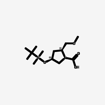 COC[C@@H]1C[C@H](O[Si](C)(C)C(C)(C)C)CN1C(=O)O